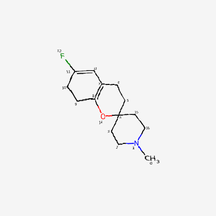 CN1CCC2(CCC3=C(CCC(F)=C3)O2)CC1